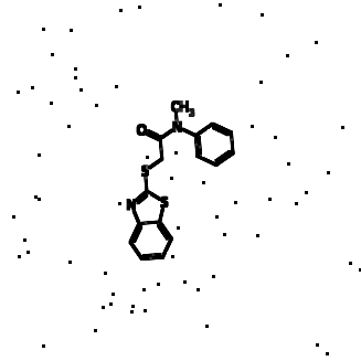 CN(C(=O)CSc1nc2ccccc2s1)c1ccccc1